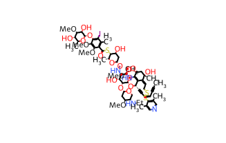 CC#C/C=C\C#C[C@H](O[C@@H]1O[C@H](C)[C@@H](NO[C@H]2C[C@H](O)[C@H](SC(=O)c3c(C)c(I)c(O[C@@H]4O[C@@H](C)[C@H](O)[C@@H](OC)[C@H]4O)c(OC)c3OC)[C@@H](C)O2)[C@@H](O)[C@H]1O[C@H]1C[C@H](OC)[C@@H](NCC)CO1)C1=C(NC(=O)OC)C(=O)C[C@](C)(O)/C1=C/CSSc1c(C)cncc1C